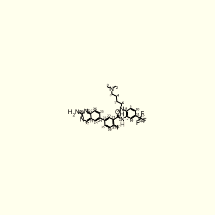 CN(C)CCCCNc1ccc(C(F)(F)F)cc1NC(=O)c1cc(-c2ccc3nc(N)ncc3c2)ccc1F